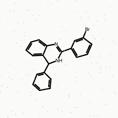 Brc1cccc(C2=Nc3ccccc3C(c3ccccc3)N2)c1